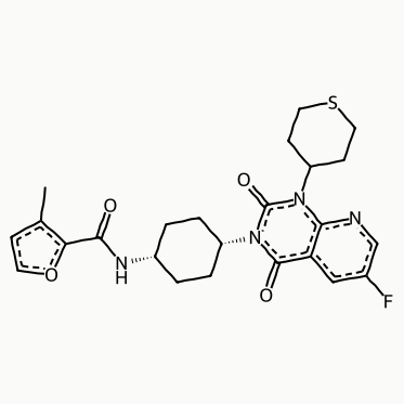 Cc1ccoc1C(=O)N[C@H]1CC[C@@H](n2c(=O)c3cc(F)cnc3n(C3CCSCC3)c2=O)CC1